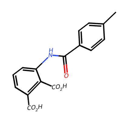 Cc1ccc(C(=O)Nc2cccc(C(=O)O)c2C(=O)O)cc1